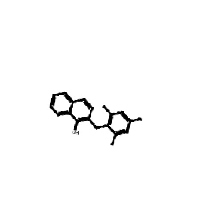 Cc1cc(C)c(Cc2ccc3ccccc3c2O)c(C)c1